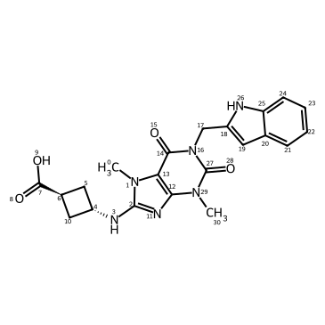 Cn1c(N[C@H]2C[C@H](C(=O)O)C2)nc2c1c(=O)n(Cc1cc3ccccc3[nH]1)c(=O)n2C